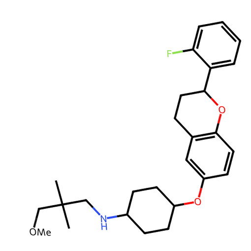 COCC(C)(C)CNC1CCC(Oc2ccc3c(c2)CCC(c2ccccc2F)O3)CC1